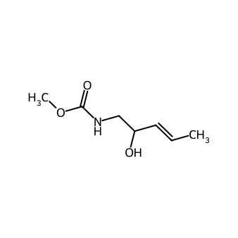 CC=CC(O)CNC(=O)OC